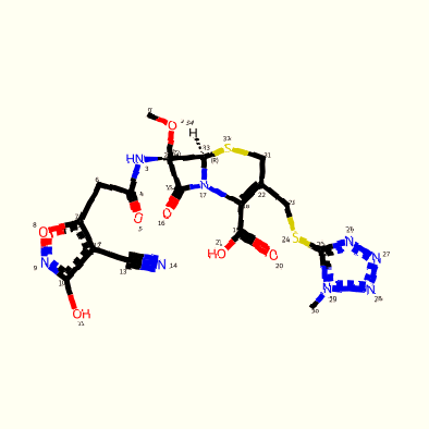 CO[C@@]1(NC(=O)Cc2onc(O)c2C#N)C(=O)N2C(C(=O)O)=C(CSc3nnnn3C)CS[C@@H]21